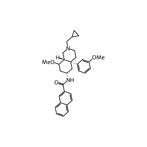 COc1cccc([C@@]23CCN(CC4CC4)C[C@H]2C(OC)C[C@@H](NC(=O)c2ccc4ccccc4c2)C3)c1